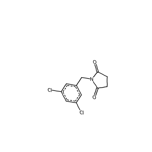 O=C1CCC(=O)N1Cc1cc(Cl)cc(Cl)c1